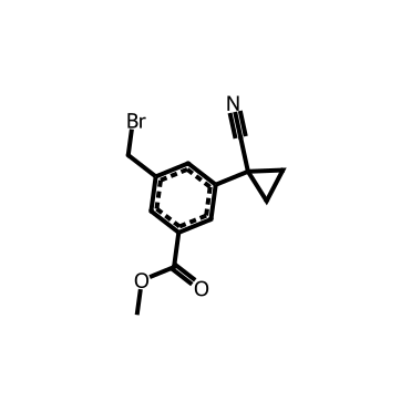 COC(=O)c1cc(CBr)cc(C2(C#N)CC2)c1